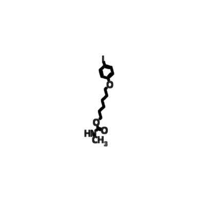 CNC(=O)OCCCCCCOc1ccc(I)cc1